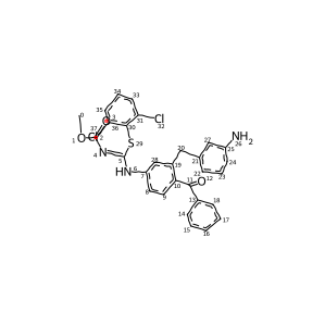 COC(=O)N=C(Nc1ccc(C(=O)c2ccccc2)c(Cc2cccc(N)c2)c1)Sc1c(Cl)cccc1Cl